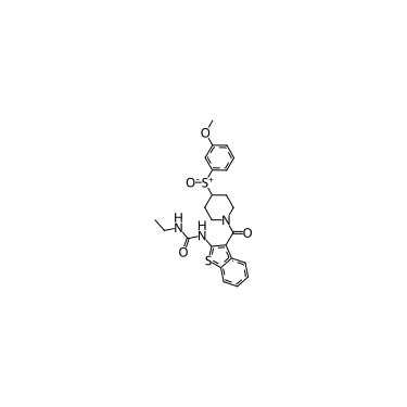 CCNC(=O)Nc1sc2ccccc2c1C(=O)N1CCC([S+]([O-])c2cccc(OC)c2)CC1